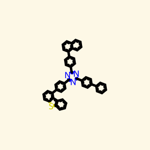 c1ccc(-c2ccc(-c3nc(-c4ccc(-c5cccc6ccccc56)cc4)nc(-c4ccc(-c5cccc6sc7ccccc7c56)cc4)n3)cc2)cc1